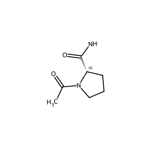 CC(=O)N1CCC[C@H]1C([NH])=O